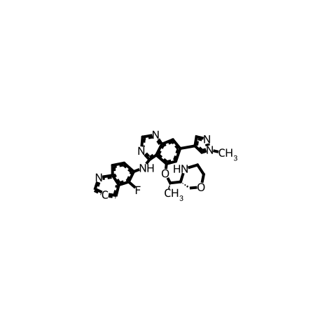 C[C@H](Oc1cc(-c2cnn(C)c2)cc2ncnc(Nc3ccc4ncccc4c3F)c12)[C@H]1COCCN1